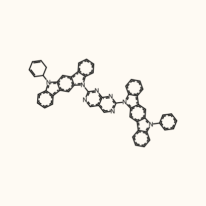 C1=CCC(n2c3ccccc3c3cc4c(cc32)c2ccccc2n4-c2ncc3cnc(-n4c5ccccc5c5cc6c(cc54)c4ccccc4n6-c4ccccc4)nc3n2)C=C1